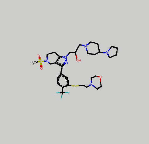 CS(=O)(=O)N1CCc2c(c(-c3ccc(C(F)(F)F)c(SCCN4CCOCC4)c3)nn2CC(O)CN2CCC(N3CCCC3)CC2)C1